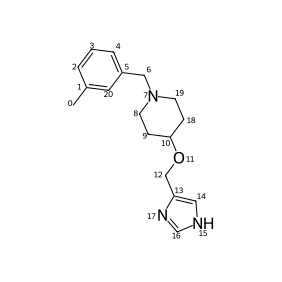 Cc1cccc(CN2CCC(OCc3c[nH]cn3)CC2)c1